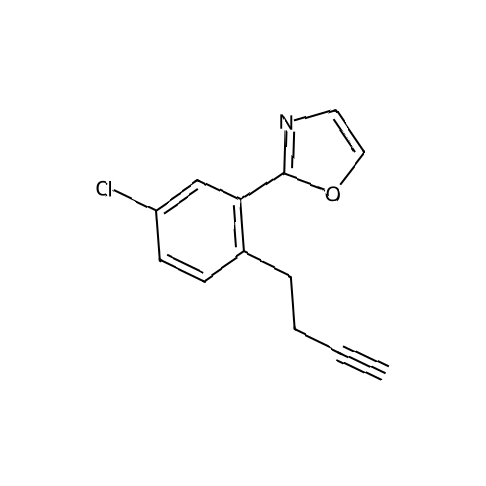 C#CCCc1ccc(Cl)cc1-c1ncco1